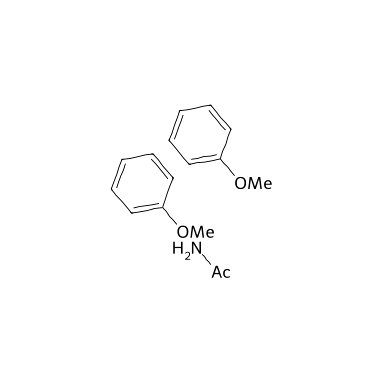 CC(N)=O.COc1ccccc1.COc1ccccc1